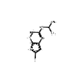 CC(NC1=Nc2cc(Cl)sc2SN1)C(C)(C)C